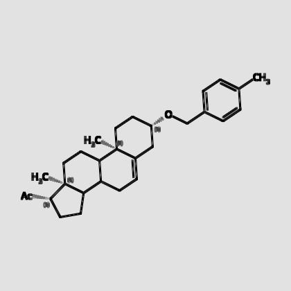 CC(=O)[C@H]1CCC2C3CC=C4C[C@@H](OCc5ccc(C)cc5)CC[C@]4(C)C3CC[C@@]21C